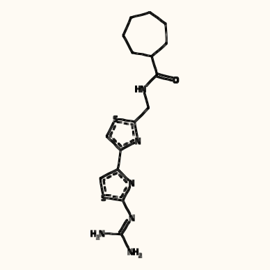 NC(N)=Nc1nc(-c2csc(CNC(=O)C3CCCCCC3)n2)cs1